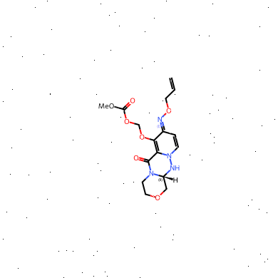 C=CCO/N=c1\ccn2c(c1OCOC(=O)OC)C(=O)N1CCOC[C@H]1N2